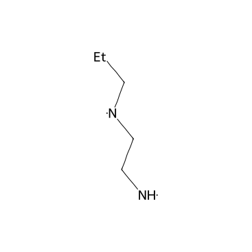 CCC[N]CC[NH]